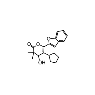 CC1(C)C(=O)OC(c2cc3ccccc3o2)=C(C2CCCC2)C1O